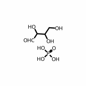 O=CC(O)C(O)CO.O=P(O)(O)O